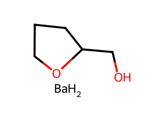 OCC1CCCO1.[BaH2]